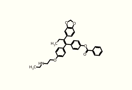 CCNCCOc1ccc(C(=C(CC)c2ccc3c(c2)OCO3)c2ccc(OC(=O)c3ccccc3)cc2)cc1